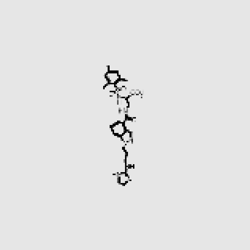 Cc1cc(C)c(S(=O)(=O)NC(CNC(=O)c2cccc3c2cnn3CCCNC2=NCCN2)C(=O)O)c(C)c1